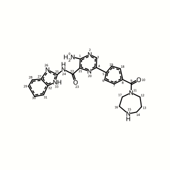 Nc1ncc(-c2ccc(C(=O)N3CCCNCC3)cc2)nc1C(=O)Nc1nc2ccccc2[nH]1